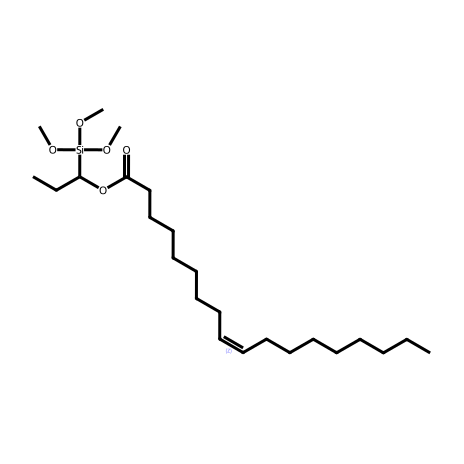 CCCCCCCC/C=C\CCCCCCCC(=O)OC(CC)[Si](OC)(OC)OC